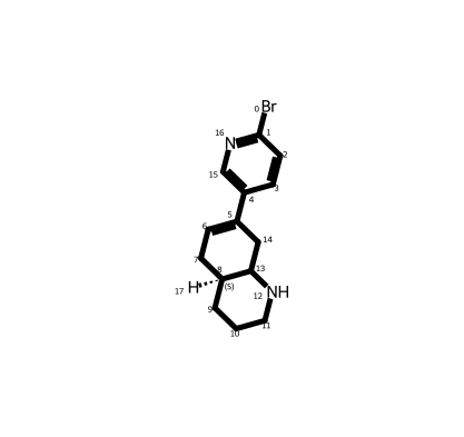 Brc1ccc(C2=CC[C@@H]3CCCNC3C2)cn1